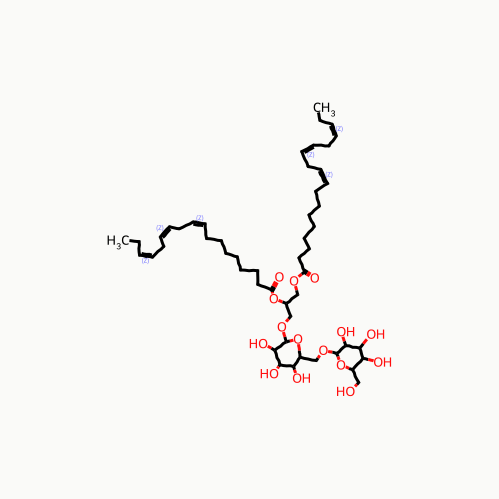 CC/C=C\C/C=C\C/C=C\CCCCCCCC(=O)OCC(COC1OC(COC2OC(CO)C(O)C(O)C2O)C(O)C(O)C1O)OC(=O)CCCCCCC/C=C\C/C=C\C/C=C\CC